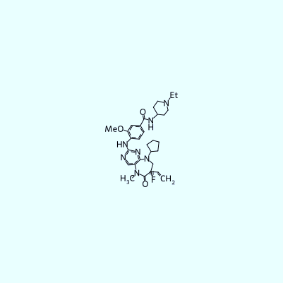 C=C[C@@]1(F)CN(C2CCCC2)c2nc(Nc3ccc(C(=O)NC4CCN(CC)CC4)cc3OC)ncc2N(C)C1=O